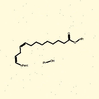 CC(C)O.CCCCC/C=C\C/C=C\CCCCCCCC(=O)OCCC